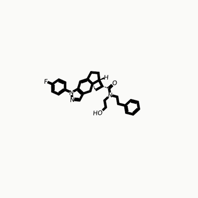 O=C([C@@H]1C[C@]23Cc4cnn(-c5ccc(F)cc5)c4C=C2CC[C@H]13)N(CCO)CCc1ccccc1